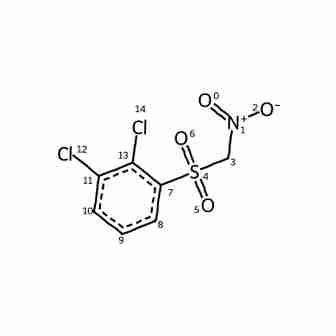 O=[N+]([O-])CS(=O)(=O)c1cccc(Cl)c1Cl